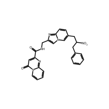 O=C(NCc1cn2cc(CC(Cc3ccccc3)[N+](=O)[O-])ccc2n1)c1cc(=O)n2ccccc2n1